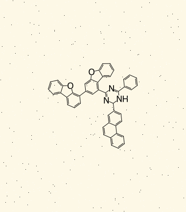 c1ccc(C2=NC(c3cc(-c4cccc5c4oc4ccccc45)cc4oc5ccccc5c34)=NC(c3ccc4c(ccc5ccccc54)c3)N2)cc1